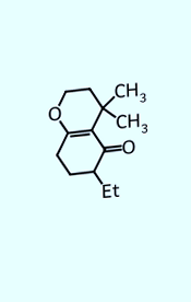 CCC1CCC2=C(C1=O)C(C)(C)CCO2